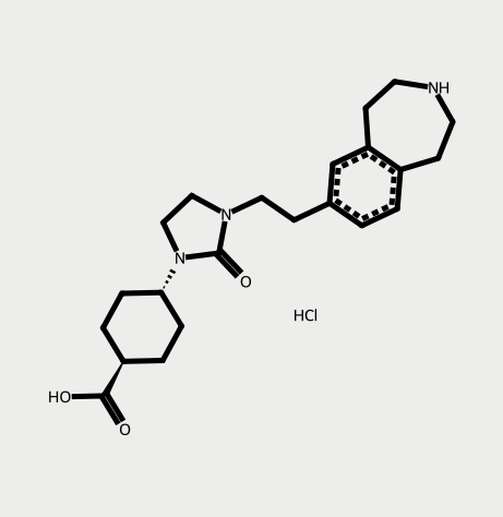 Cl.O=C1N(CCc2ccc3c(c2)CCNCC3)CCN1[C@H]1CC[C@H](C(=O)O)CC1